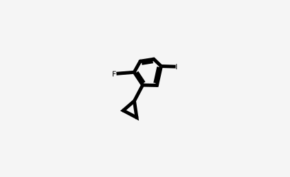 Fc1ccc(I)cc1C1CC1